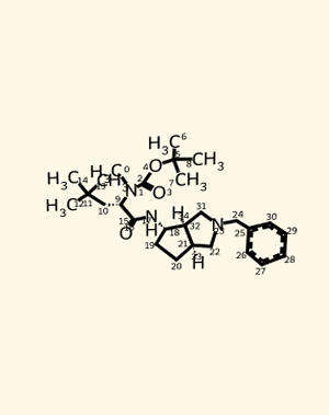 CN(C(=O)OC(C)(C)C)[C@@H](CC(C)(C)C)C(=O)N[C@H]1CC[C@@H]2CN(Cc3ccccc3)C[C@@H]21